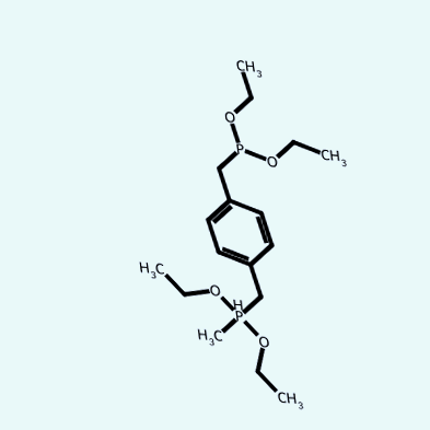 CCOP(Cc1ccc(C[PH](C)(OCC)OCC)cc1)OCC